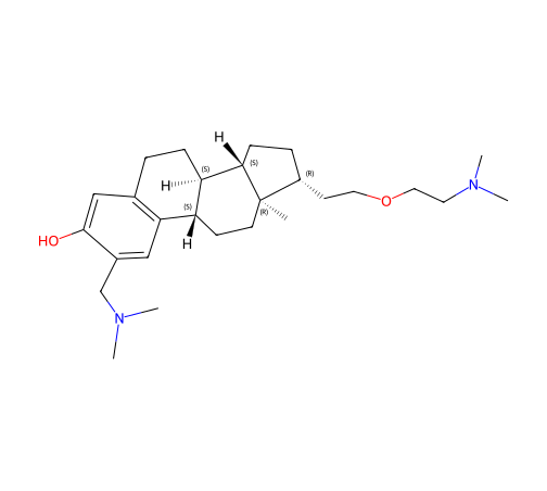 CN(C)CCOCC[C@H]1CC[C@H]2[C@@H]3CCc4cc(O)c(CN(C)C)cc4[C@H]3CC[C@]12C